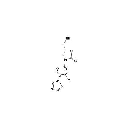 NC[C@H]1CN(c2ccc(-n3ccnc3)c(F)c2)C(=O)O1